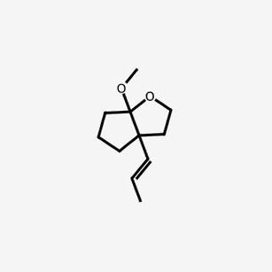 CC=CC12CCCC1(OC)OCC2